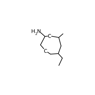 CCC1CCCC(N)CC(C)C1